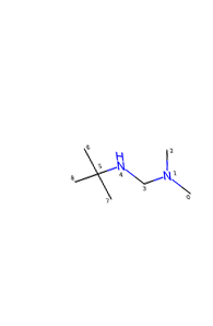 CN(C)CNC(C)(C)C